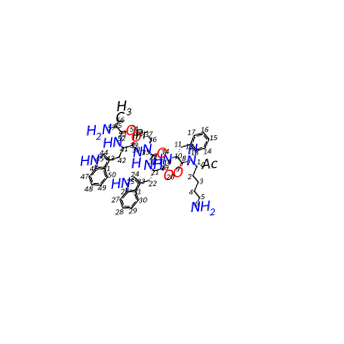 CC(=O)[C@H](CCCCN)NC(=O)[C@@H](Cc1ccccc1)NC(=O)[C@H](Cc1c[nH]c2ccccc12)NC(=O)N(CC(C)C)NC(=O)[C@@H](Cc1c[nH]c2ccccc12)NC(=O)[C@H](C)N